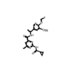 COc1cc(C(C)NC(=O)c2cc(C)nc(NC(=O)C3CC3)n2)cnc1OCF